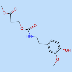 COC(=O)CCOC(=O)NCCc1ccc(O)c(OC)c1